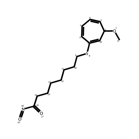 COC1C=CC=CC(SCCCCCCCC(=O)N=O)=C1